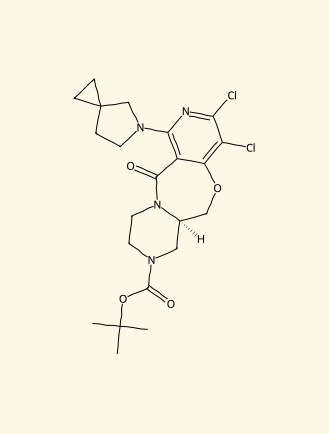 CC(C)(C)OC(=O)N1CCN2C(=O)c3c(N4CCC5(CC5)C4)nc(Cl)c(Cl)c3OC[C@H]2C1